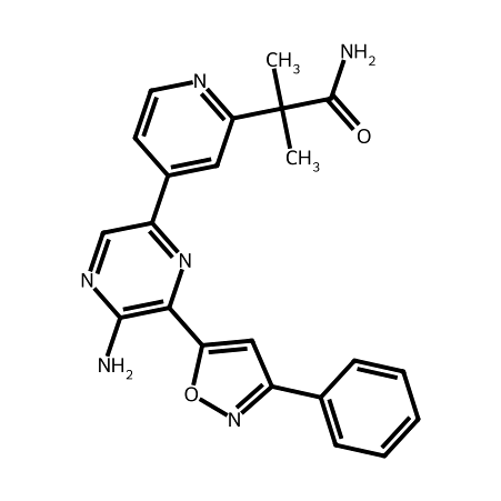 CC(C)(C(N)=O)c1cc(-c2cnc(N)c(-c3cc(-c4ccccc4)no3)n2)ccn1